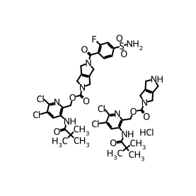 CC(C)(C)C(=O)Nc1cc(Cl)c(Cl)nc1COC(=O)N1CC2=C(C1)CN(C(=O)c1ccc(S(N)(=O)=O)cc1F)C2.CC(C)(C)C(=O)Nc1cc(Cl)c(Cl)nc1COC(=O)N1CC2=C(CNC2)C1.Cl